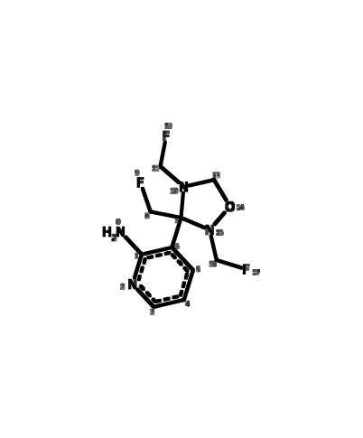 Nc1ncccc1C1(CF)N(CF)CON1CF